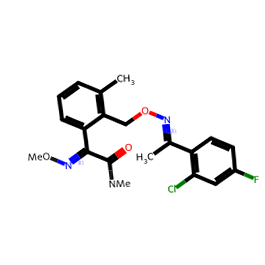 CNC(=O)/C(=N/OC)c1cccc(C)c1CO/N=C(\C)c1ccc(F)cc1Cl